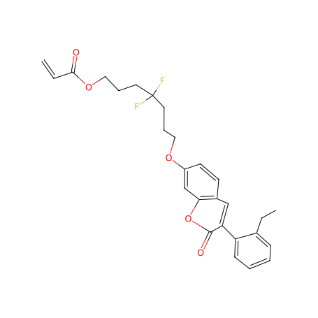 C=CC(=O)OCCCC(F)(F)CCCOc1ccc2cc(-c3ccccc3CC)c(=O)oc2c1